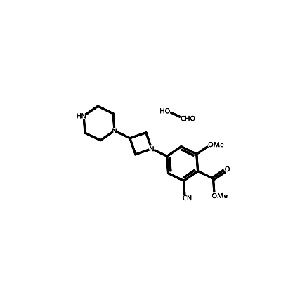 COC(=O)c1c(C#N)cc(N2CC(N3CCNCC3)C2)cc1OC.O=CO